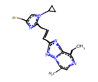 Cc1ncc(C)n2nc(C=Cc3nc(Br)cn3C3CC3)nc12